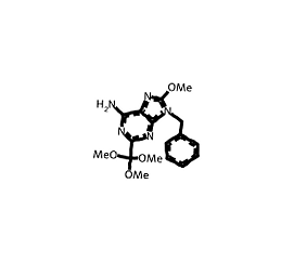 COc1nc2c(N)nc(C(OC)(OC)OC)nc2n1Cc1ccccc1